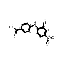 O=C(O)c1ccc(Nc2ccc([N+](=O)[O-])cc2Cl)cc1